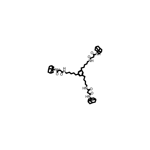 O=C(CC(=O)NC12CC3CC(CC(C3)C1)C2)NCCCCCc1cc(CCCCCNC(=O)CC(=O)NC23CC4CC(CC(C4)C2)C3)cc(CCCCCNC(=O)CC(=O)NC23CC4CC(CC(C4)C2)C3)c1